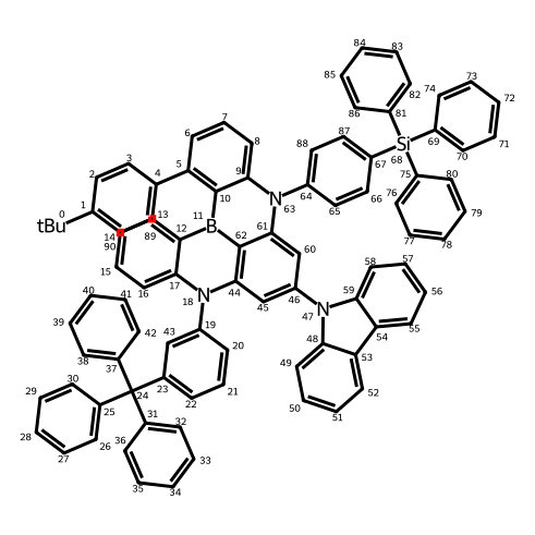 CC(C)(C)c1ccc(-c2cccc3c2B2c4ccccc4N(c4cccc(C(c5ccccc5)(c5ccccc5)c5ccccc5)c4)c4cc(-n5c6ccccc6c6ccccc65)cc(c42)N3c2ccc([Si](c3ccccc3)(c3ccccc3)c3ccccc3)cc2)cc1